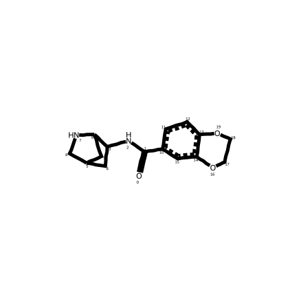 O=C(NC1CC2CNC1C2)c1ccc2c(c1)OCCO2